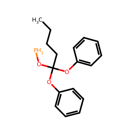 CCCCC(OP)(Oc1ccccc1)Oc1ccccc1